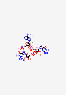 COC1[C@@H](OP(=O)(O)OC[C@H]2O[C@@H](n3cnc4c(=O)[nH]c(N)nc43)C(O)[C@H]2OP(=O)(O)OC[C@H]2O[C@@H](n3cnc4c(=O)[nH]c(N)nc43)C(O)[C@H]2O)[C@@H](COP(C)(=O)O)O[C@H]1n1cnc2c(N)ncnc21